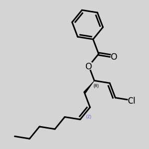 CCCCC/C=C\C[C@H](C=CCl)OC(=O)c1ccccc1